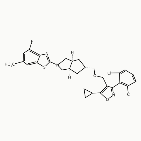 O=C(O)c1cc(F)c2nc(N3C[C@H]4C[C@H](COCc5c(-c6c(Cl)cccc6Cl)noc5C5CC5)C[C@H]4C3)sc2c1